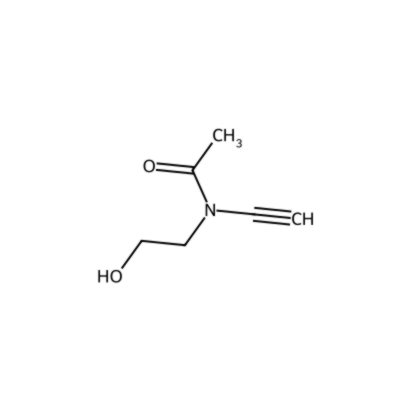 C#CN(CCO)C(C)=O